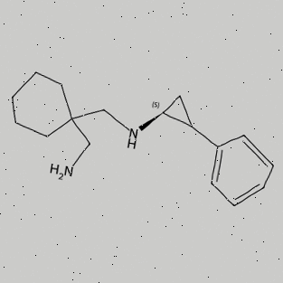 NCC1(CN[C@H]2CC2c2ccccc2)CCCCC1